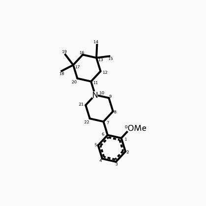 COc1ccccc1C1CCN(C2CC(C)(C)CC(C)(C)C2)CC1